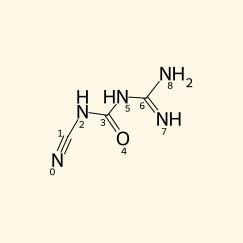 N#CNC(=O)NC(=N)N